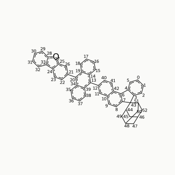 c1ccc2c(c1)-c1c(ccc3cc(-c4c5ccccc5c(-c5ccc6c(c5)oc5ccccc56)c5ccccc45)ccc13)C21C2CC3CC(C2)CC1C3